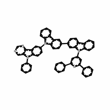 c1ccc(-c2cc(-n3c4ccccc4c4ccc(-c5ccc6c(c5)c5ccccc5n6-c5ccc6c(c5)c5ncncc5n6-c5ccccc5)cc43)cc(-c3ccccc3)n2)cc1